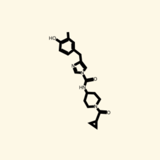 Cc1cc(Cc2cn(C(=O)NC3CCN(C(=O)C4CC4)CC3)cn2)ccc1O